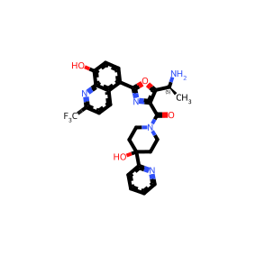 C[C@H](N)c1oc(-c2ccc(O)c3nc(C(F)(F)F)ccc23)nc1C(=O)N1CCC(O)(c2ccccn2)CC1